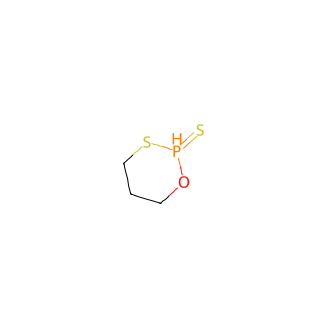 S=[PH]1OCCCS1